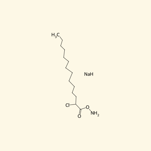 CCCCCCCCCCCCC(Cl)C(=O)ON.[NaH]